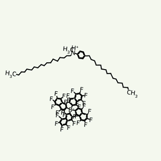 CCCCCCCCCCCCCCCCCC[NH+](C)c1ccc(CCCCCCCCCCCCCCCC)cc1.Fc1c(F)c(F)c2c(F)c([B-](c3c(F)c(F)c4c(F)c(F)c(F)c(F)c4c3F)(c3c(F)c(F)c4c(F)c(F)c(F)c(F)c4c3F)c3c(F)c(F)c4c(F)c(F)c(F)c(F)c4c3F)c(F)c(F)c2c1F